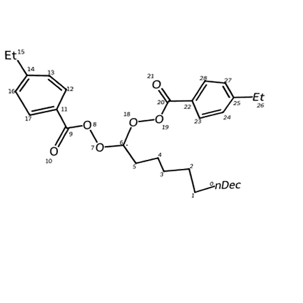 [CH2]CCCCCCCCCCCCCC[C](OOC(=O)c1ccc(CC)cc1)OOC(=O)c1ccc(CC)cc1